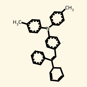 Cc1ccc(N(c2ccc(C)cc2)c2ccc(C=C(c3ccccc3)C3C=CC=CC3)cc2)cc1